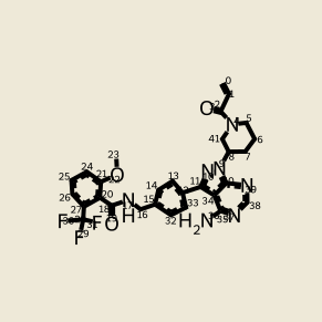 C=CC(=O)N1CCCC(n2nc(-c3ccc(CNC(=O)c4c(OC)cccc4C(F)(F)F)cc3)c3c(N)ncnc32)C1